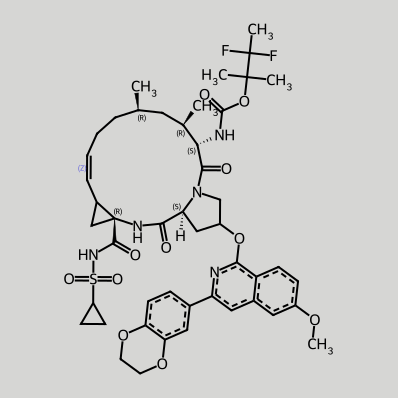 COc1ccc2c(OC3C[C@H]4C(=O)N[C@]5(C(=O)NS(=O)(=O)C6CC6)CC5/C=C\CC[C@@H](C)C[C@@H](C)[C@H](NC(=O)OC(C)(C)C(C)(F)F)C(=O)N4C3)nc(-c3ccc4c(c3)OCCO4)cc2c1